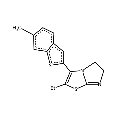 CCC1=C(c2cc3ccc(C)cc3s2)N2CCN=C2S1